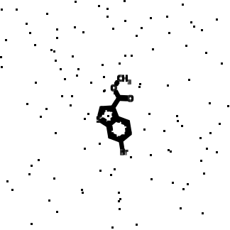 COC(=O)c1csc2cc(Br)ccc12